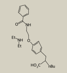 CCCCC(Cc1ccc(OCCNC(=O)c2ccccc2)cc1)C(=O)O.CCNCC